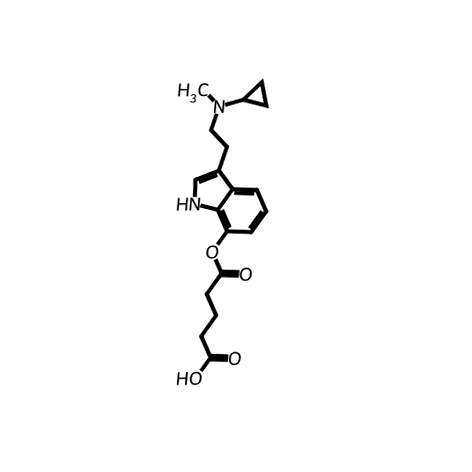 CN(CCc1c[nH]c2c(OC(=O)CCCC(=O)O)cccc12)C1CC1